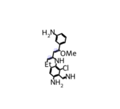 CC/C=C(/C=C(\OC)c1cccc(N)c1)Nc1ccc(N)c(C=N)c1Cl